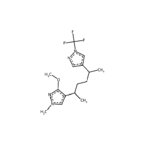 COc1nn(C)cc1C(C)CCC(C)c1cnn(C(F)(F)F)c1